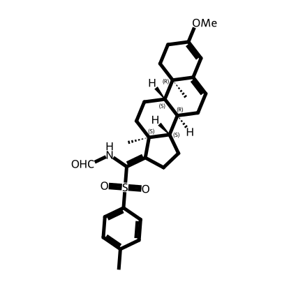 COC1=CC2=CC[C@@H]3[C@H](CC[C@]4(C)C(=C(NC=O)S(=O)(=O)c5ccc(C)cc5)CC[C@@H]34)[C@@]2(C)CC1